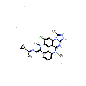 C=N/C(=C\N=C(/C)C1CC1)c1cccc(N(C)c2nc3nnc(C)n3c3cc(Cl)ccc23)c1